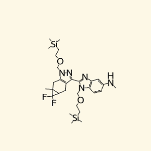 CNc1ccc2c(c1)nc(-c1nn(COCC[Si](C)(C)C)c3c1CC1C(F)(F)C1(C)C3)n2COCC[Si](C)(C)C